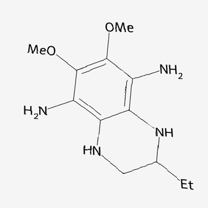 CCC1CNc2c(N)c(OC)c(OC)c(N)c2N1